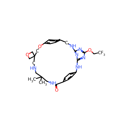 CC1(C)CNCC2(COC2)COc2ccc(cc2)CNc2nc(nc(OCC(F)(F)F)n2)Nc2ccc(cc2)C(=O)NC1